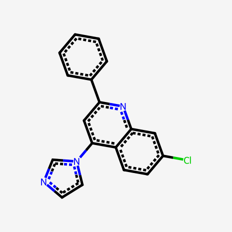 Clc1ccc2c(-n3ccnc3)cc(-c3ccccc3)nc2c1